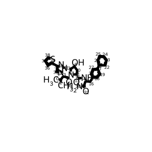 CC(C)C(C(=O)N1C[C@H](O)C[C@H]1C(=O)NC(Cc1ccc(-c2ccccc2)cc1)C(N)=O)n1cc(-c2cccs2)nn1